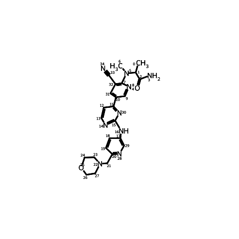 CC(C(N)=O)N(C)c1ncc(-c2ccnc(Nc3ccc(CN4CCOCC4)nc3)n2)cc1C#N